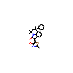 C=c1[nH]c(=O)/c(=C2\C(=O)N3c4c2cccc4C(C)(c2ccccc2)CC3(C)C)s1